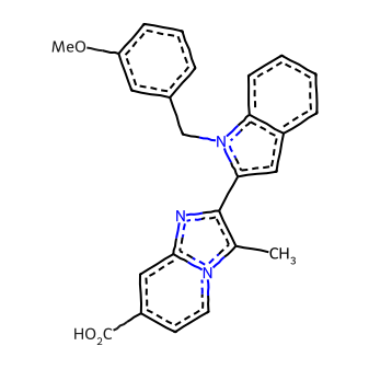 COc1cccc(Cn2c(-c3nc4cc(C(=O)O)ccn4c3C)cc3ccccc32)c1